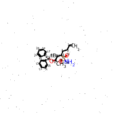 C=CCCC(CC(C)O[Si](c1ccccc1)(c1ccccc1)C(C)(C)C)S(N)(=O)=O